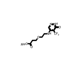 COC(=O)CCOCCNc1cn[nH]c(=O)c1C(F)(F)F